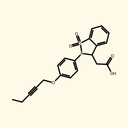 CCC#CCOc1ccc(N2C(CC(=O)O)c3ccccc3S2(=O)=O)cc1